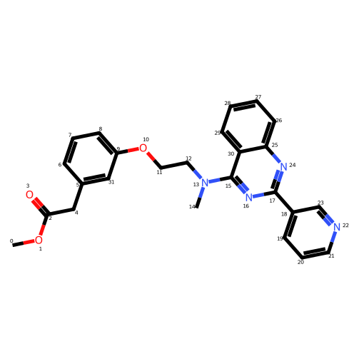 COC(=O)Cc1cccc(OCCN(C)c2nc(-c3cccnc3)nc3ccccc23)c1